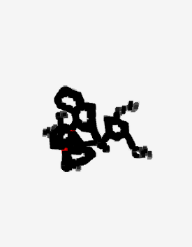 Cc1cc(C)cc(P(=O)(c2cc(C)cc(C)c2)c2ccc3ccccc3c2-c2c(O)ccc3ccccc23)c1